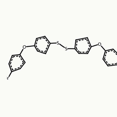 Brc1ccc(Oc2ccc(SSc3ccc(Oc4ccc(Br)cc4)cc3)cc2)cc1